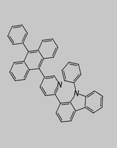 c1ccc(-c2c3ccccc3c(-c3ccc(-c4cccc5c6ccccc6n(-c6ccccc6)c45)nc3)c3ccccc23)cc1